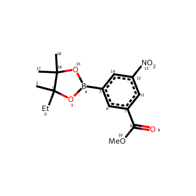 CCC1(C)OB(c2cc(C(=O)OC)cc([N+](=O)[O-])c2)OC1(C)C